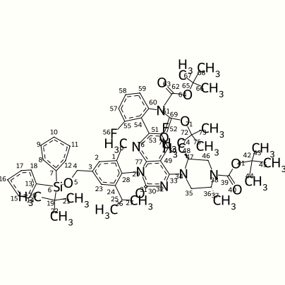 Cc1cc(CO[Si](c2ccccc2)(c2ccccc2)C(C)(C)C)cc(C(C)C)c1-n1c(=O)nc(N2C[C@@H](C)N(C(=O)OC(C)(C)C)C[C@@H]2C)c2cc(F)c(-c3c(F)cccc3N(C(=O)OC(C)(C)C)C(=O)OC(C)(C)C)nc21